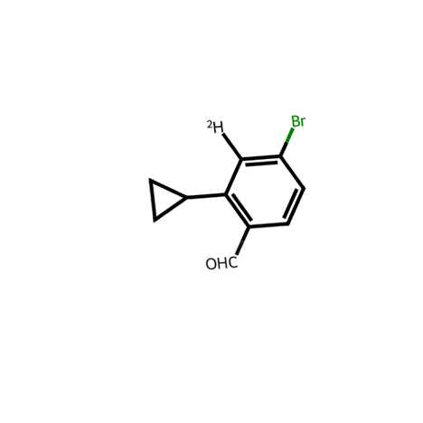 [2H]c1c(Br)ccc(C=O)c1C1CC1